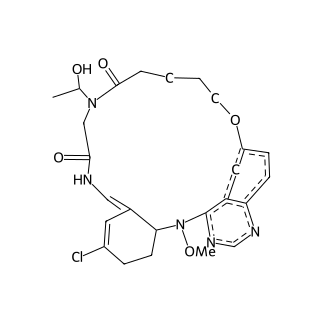 CON1c2ncnc3ccc(cc23)OCCCCC(=O)N(C(C)O)CC(=O)N/C=C2\C=C(Cl)CCC21